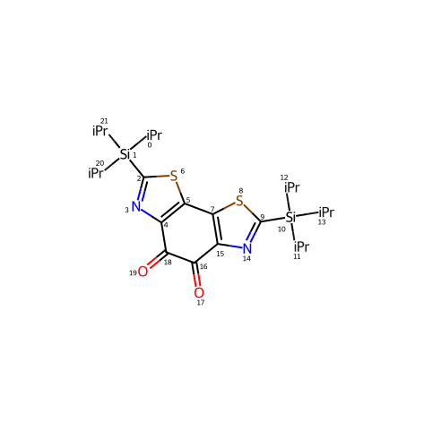 CC(C)[Si](c1nc2c(s1)-c1sc([Si](C(C)C)(C(C)C)C(C)C)nc1C(=O)C2=O)(C(C)C)C(C)C